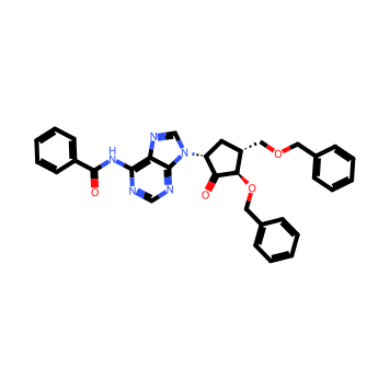 O=C(Nc1ncnc2c1ncn2[C@@H]1C[C@H](COCc2ccccc2)[C@@H](OCc2ccccc2)C1=O)c1ccccc1